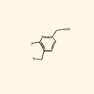 O=CCc1ccc(CBr)c(Cl)n1